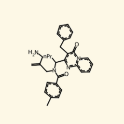 C=C(CN)CN(C(=O)c1ccc(C)cc1)C(CCC)c1nc2ccccn2c(=O)c1Cc1ccccc1